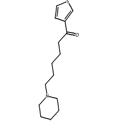 O=C(CCCCCN1CC[CH]CC1)c1ccsc1